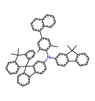 Cc1cc(-c2cccc3ccccc23)cc(C)c1N(c1ccc2c(c1)C(C)(C)c1ccccc1-2)c1ccc2c(c1)C1(c3ccccc3-2)c2ccccc2C(C)(C)c2ccccc21